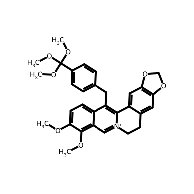 COc1ccc2c(Cc3ccc(C(OC)(OC)OC)cc3)c3[n+](cc2c1OC)CCc1cc2c(cc1-3)OCO2